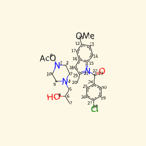 CC(=O)ON1CCN(CC(C)O)CC1.COc1ccc2c(c1)cc(C)n2C(=O)c1ccc(Cl)cc1